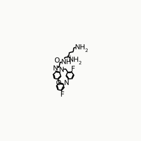 NCCC[C@H](N)CNC(=O)c1nc2ccc(-c3ccc(F)cc3)cc2n1Cc1cc([N+](=O)[O-])ccc1F